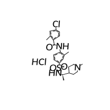 Cc1cc(S(=O)(=O)N[C@H](C)C2CCN(C)CC2)ccc1NC(=O)c1ccc(Cl)cc1C.Cl